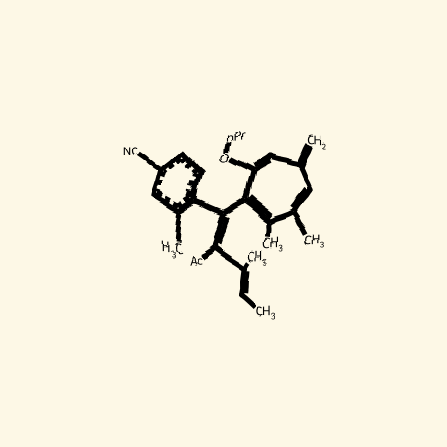 C=C1C=C(C)C(C)=C(/C(=C(C(C)=O)\C(C)=C\C)c2ccc(C#N)cc2C)C(OCCC)=C1